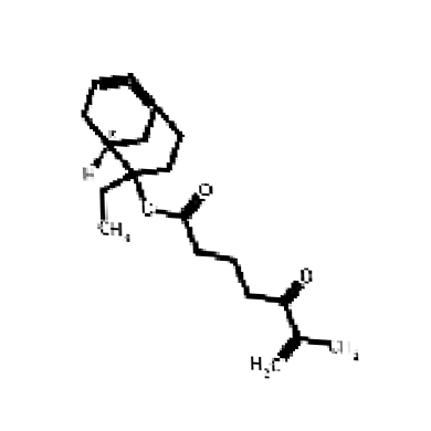 C=C(C)C(=O)CCCC(=O)OC1(CC)CCC2=C=CC[C@@H]1C2